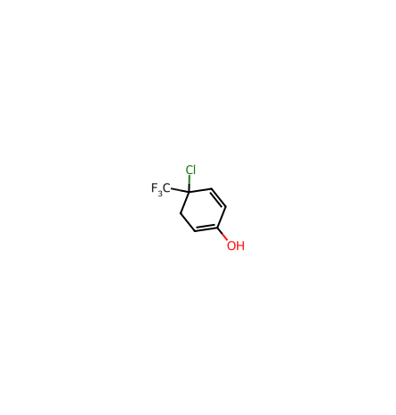 OC1=CCC(Cl)(C(F)(F)F)C=C1